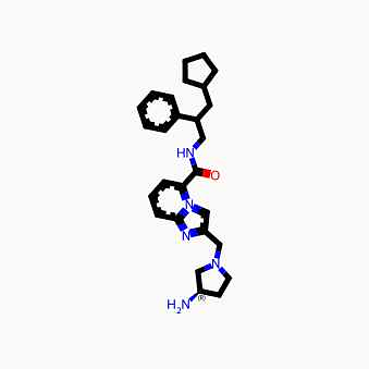 N[C@@H]1CCN(Cc2cn3c(C(=O)NCC(CC4CCCC4)c4ccccc4)cccc3n2)C1